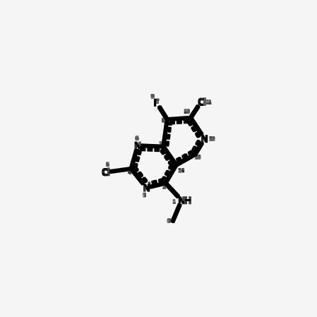 CNc1nc(Cl)nc2c(F)c(Cl)ncc12